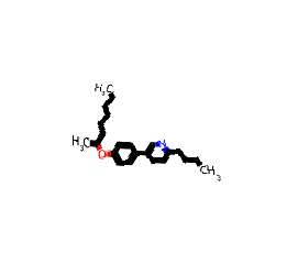 CCCCCCC(C)Oc1ccc(-c2ccc(CCCC)nc2)cc1